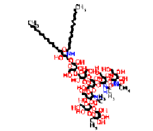 CCCCCCCCCCCCC/C=C/[C@@H](O)[C@H](CO[C@@H]1OC(CO)[C@@H](O[C@@H]2OC(CO)[C@H](O[C@@H]3OC(CO)[C@H](O[C@@H]4OC(CO)[C@H](O)[C@H](O[C@@H]5OC(CO)[C@H](O)[C@H](O)C5O[C@H]5OC(C)[C@@H](O)C(O)[C@@H]5O)C4NC(C)=O)[C@H](O[C@@H]4OC(CO)[C@H](O)[C@H](O[C@H]5OC(CO)[C@H](O)[C@H](O)C5NC(C)=O)C4NC(C)=O)C3O)[C@H](O)C2O)[C@H](O)C1O)NC(=O)CCCCCCCCCCCCCCC